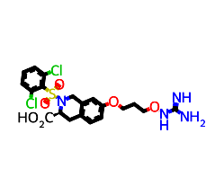 N=C(N)NOCCCOc1ccc2c(c1)CN(S(=O)(=O)c1c(Cl)cccc1Cl)[C@H](C(=O)O)C2